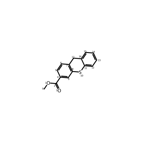 COC(=O)c1ccc2c(c1)Sc1ccccc1C2